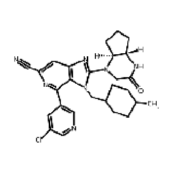 CC1CCC(Cn2c(N3CC(=O)N[C@H]4CCC[C@@H]43)nc3cc(C#N)nc(-c4cncc(Cl)c4)c32)CC1